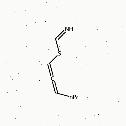 CCCC=C=CSC=N